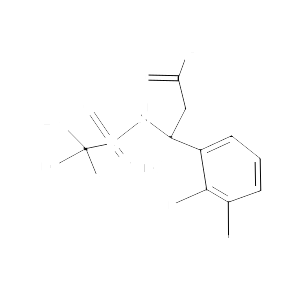 CC(C)(C)S(=O)(=O)N[C@@](C)(CC(=O)O)c1cccc(F)c1F